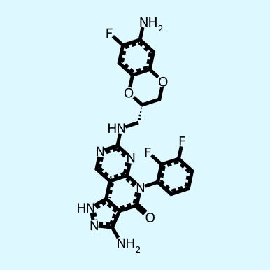 Nc1cc2c(cc1F)O[C@@H](CNc1ncc3c4[nH]nc(N)c4c(=O)n(-c4cccc(F)c4F)c3n1)CO2